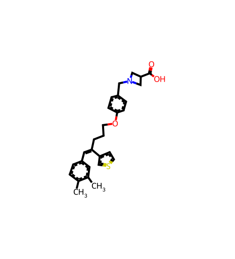 Cc1ccc(/C=C(/CCCOc2ccc(CN3CC(C(=O)O)C3)cc2)c2ccsc2)cc1C